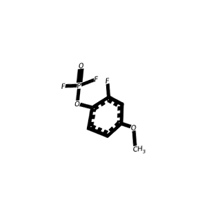 COc1ccc(OP(=O)(F)F)c(F)c1